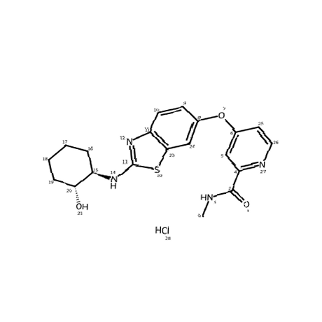 CNC(=O)c1cc(Oc2ccc3nc(N[C@@H]4CCCC[C@H]4O)sc3c2)ccn1.Cl